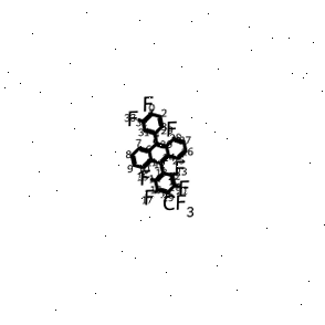 Fc1ccc(-c2c3ccccc3c(-c3c(F)c(F)c(C(F)(F)F)c(F)c3F)c3cccc(F)c23)cc1F